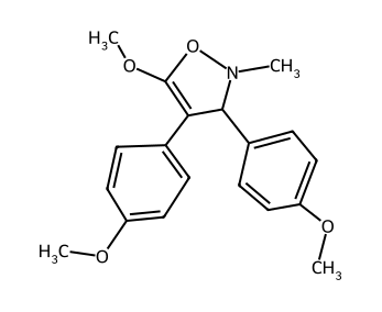 COC1=C(c2ccc(OC)cc2)C(c2ccc(OC)cc2)N(C)O1